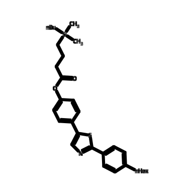 CCCCCCc1ccc(-c2ncc(-c3ccc(OC(=O)CCC[Si](C)(C)CCCC)cc3)s2)cc1